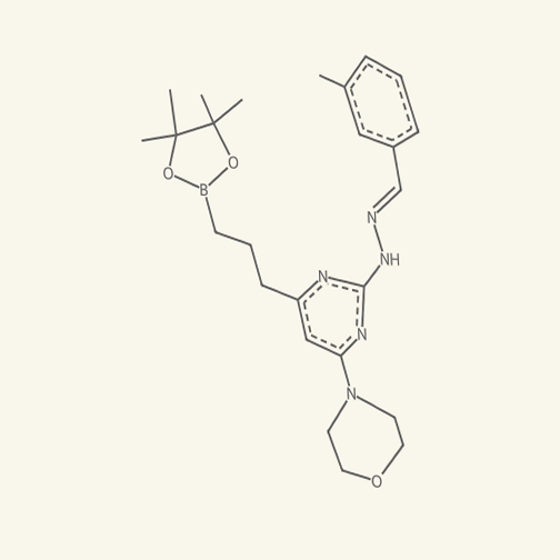 Cc1cccc(C=NNc2nc(CCCB3OC(C)(C)C(C)(C)O3)cc(N3CCOCC3)n2)c1